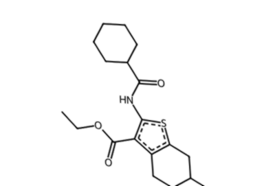 CCOC(=O)c1c(NC(=O)C2CCCCC2)sc2c1CCC(C)C2